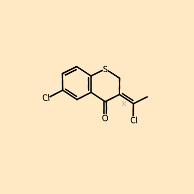 C/C(Cl)=C1\CSc2ccc(Cl)cc2C1=O